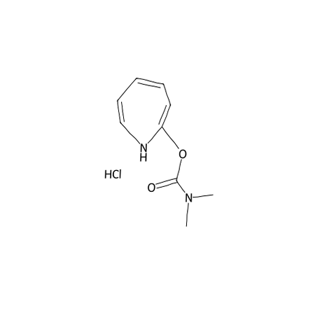 CN(C)C(=O)OC1=CC=CC=CN1.Cl